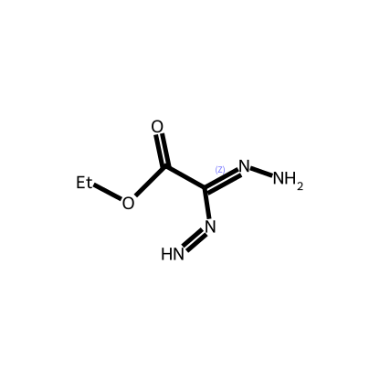 CCOC(=O)/C(N=N)=N/N